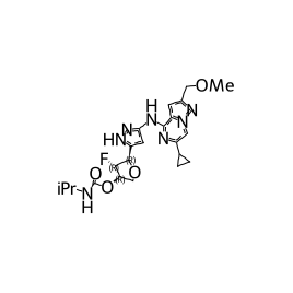 COCc1cc2c(Nc3cc([C@H]4OC[C@@H](OC(=O)NC(C)C)[C@@H]4F)[nH]n3)nc(C3CC3)cn2n1